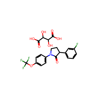 O=C(O)C(O)C(O)C(=O)O.O=C1C(c2cccc(F)c2)CCN1c1ccc(OC(F)(F)F)cc1